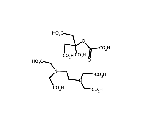 O=C(O)CC(CC(=O)O)(OC(=O)C(=O)O)C(=O)O.O=C(O)CN(CCN(CC(=O)O)CC(=O)O)CC(=O)O